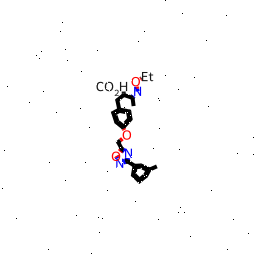 CCO/N=C(/C)C(Cc1ccc(OCc2nc(-c3cccc(C)c3)no2)cc1)C(=O)O